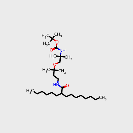 CCCCCCCCC(CCCCCC)C(=O)NCCC(C)(C)OCC(C)(C)NC(=O)OC(C)(C)C